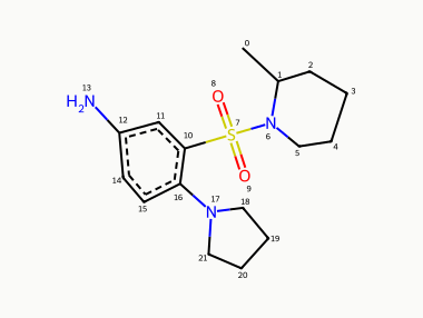 CC1CCCCN1S(=O)(=O)c1cc(N)ccc1N1CCCC1